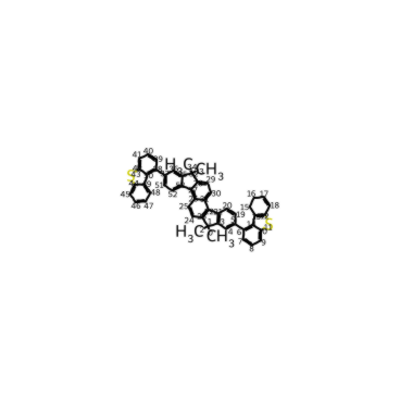 CC1(C)c2cc(-c3cccc4sc5c(c34)CCC=C5)ccc2-c2c1ccc1c3c(ccc21)C(C)(C)c1cc(-c2cccc4sc5ccccc5c24)ccc1-3